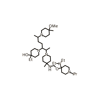 CCN(CC)C1(OCNC2(C)CCN(C(C)C(CCC(C)N3CCC(C)(OC)CC3)N3CCC(O)(CC)CC3)CC2)CCN(C(C)C)CC1